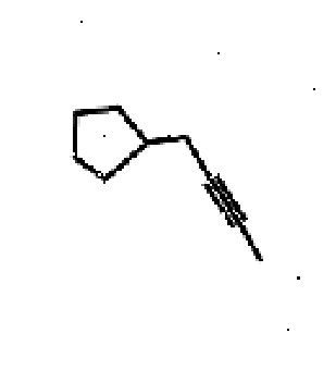 CC#CC[C]1CCCC1